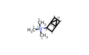 C[N+](C)(C)C1CC23CCC12C3